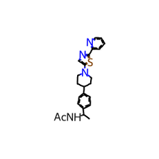 CC(=O)NC(C)c1ccc(C2CCN(c3cnc(-c4ccccn4)s3)CC2)cc1